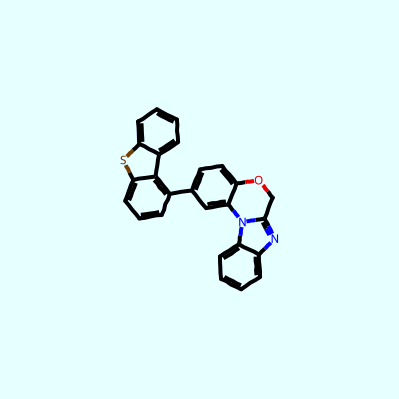 c1ccc2c(c1)nc1n2-c2cc(-c3cccc4sc5ccccc5c34)ccc2OC1